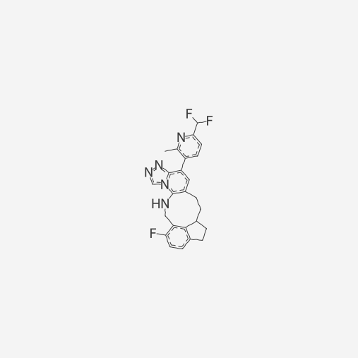 Cc1nc(C(F)F)ccc1-c1cc2c(n3cnnc13)NCc1c(F)ccc3c1C(CC3)CC2